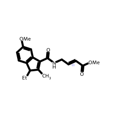 CCC1C(C)=C(C(=O)NC/C=C/C(=O)OC)c2cc(OC)ccc21